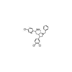 NC(CC1CN(Cc2ccccc2)CC1c1ccc(Cl)c(Cl)c1)c1ccc(Cl)cn1